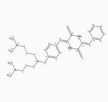 CN(C)CCCN(CCCN(C)C)Cc1ccc(C=c2[nH]c(=O)c(=Cc3ccccc3)[nH]c2=O)cc1